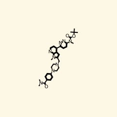 CN(C)C(=O)c1ccc(N2CCN(Cc3cc4c(-c5ccc(N(C)C(=O)OC(C)(C)C)nn5)ccnc4n3C)CC2)cc1